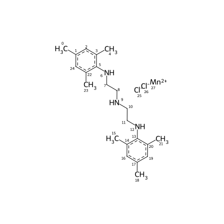 Cc1cc(C)c(NCCNCCNc2c(C)cc(C)cc2C)c(C)c1.[Cl-].[Cl-].[Mn+2]